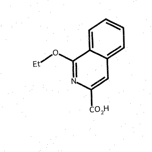 CCOc1nc(C(=O)O)cc2ccccc12